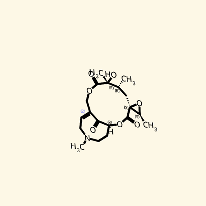 C[C@@H]1C[C@@]2(O[C@H]2C)C(=O)O[C@@H]2CCN(C)C/C=C(/COC(=O)[C@]1(C)O)C2=O